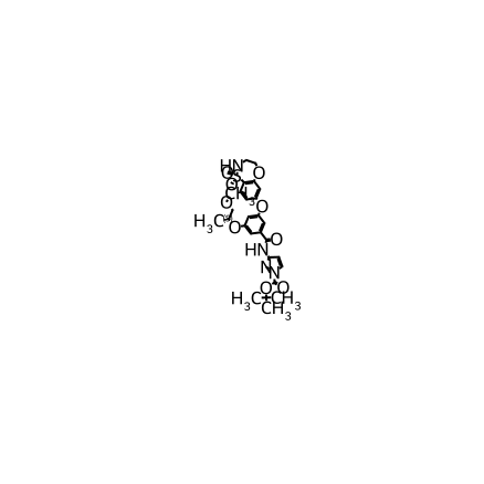 COC[C@H](C)Oc1cc(Oc2ccc3c(c2)OCCNS3(=O)=O)cc(C(=O)Nc2ccn(C(=O)OC(C)(C)C)n2)c1